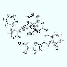 COC(=O)c1ccc(CCN2C(=O)SC=CN2CCC(Cc2cccc(C#Cc3cscc3-c3ccccc3)c2)O[Si](C)(C)C(C)(C)C)s1